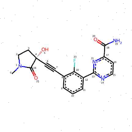 CN1CC[C@@](O)(C#Cc2cccc(-c3nccc(C(N)=O)n3)c2F)C1=O